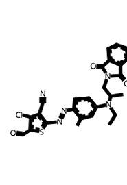 CCN(c1ccc(/N=N/c2sc(C=O)c(Cl)c2C#N)c(C)c1)C(C)CN1C(=O)c2ccccc2C1=O